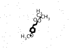 COc1ccc(C=CC(=O)OC(C)C)cc1